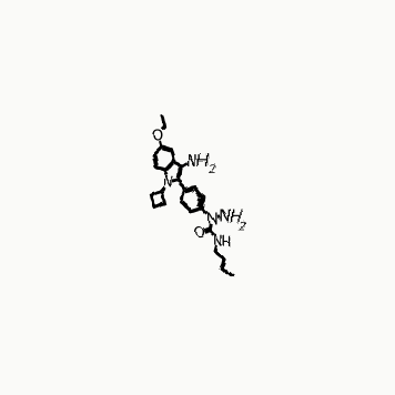 CCCCNC(=O)N(N)c1ccc(-c2c(N)c3cc(OCC)ccc3n2C2CCC2)cc1